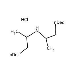 CCCCCCCCCCCC(C)NC(C)CCCCCCCCCCC.Cl